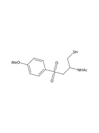 COc1ccc(S(=O)(=O)CC(CS)NC(C)=O)cc1